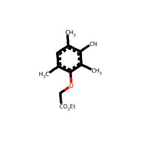 CCOC(=O)COc1c(C)cc(C)c(C#N)c1C